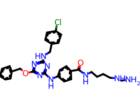 NCNCCCCNC(=O)c1ccc(Nc2nc(NCc3ccc(Cl)cc3)nc(OCc3ccccc3)n2)cc1